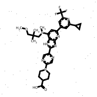 COCC(C)(C)CN(C)c1cc(-c2cc(C3CC3)nc(C(F)(F)F)c2)nc2nc(-c3cnc(N4CCC(C(=O)O)CC4)cn3)[nH]c12